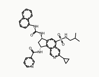 CC(C)CNS(=O)(=O)c1cc2c(c3cnc(C4CC4)cc13)[C@H](NC(=O)c1cccnc1)C[C@H]2NC(=O)Nc1cccc2ccccc12